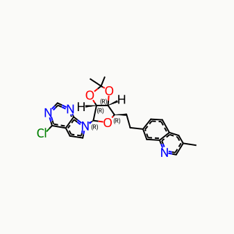 Cc1cnc2cc(CC[C@H]3O[C@@H](n4ccc5c(Cl)ncnc54)[C@@H]4OC(C)(C)O[C@@H]43)ccc2c1